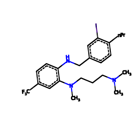 CCCc1ccc(CNc2ccc(C(F)(F)F)cc2N(C)CCCN(C)C)cc1I